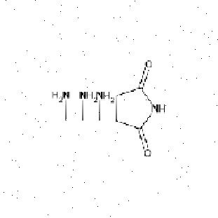 CN.CN.CN.O=C1CCC(=O)N1